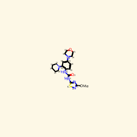 COc1nsc(NC(=O)Nc2ccc(N3CCOCC3)cc2N2CCCCC2)n1